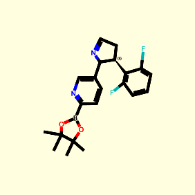 CC1(C)OB(c2ccc(C3N=CC[C@H]3c3c(F)cccc3F)cn2)OC1(C)C